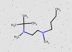 CCCCN(C)CCN(C)C(C)(C)C